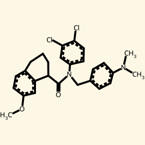 COc1ccc2c(c1)C(C(=O)N(Cc1ccc(N(C)C)cc1)c1ccc(Cl)c(Cl)c1)CCC2